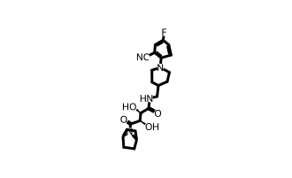 N#Cc1cc(F)ccc1N1CCC(CNC(=O)[C@H](O)[C@@H](O)C(=O)N2C3CCC2CC3)CC1